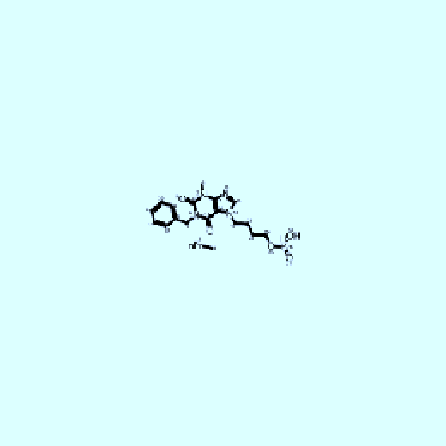 CCCC.Cn1c(=O)n(Cc2ccccc2)c(=O)c2c1ncn2CCCCO[PH](=O)O